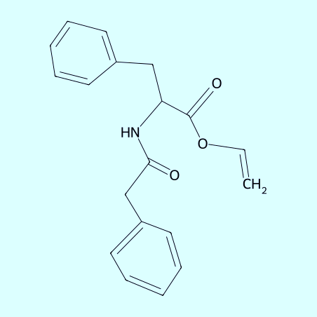 C=COC(=O)C(Cc1ccccc1)NC(=O)Cc1ccccc1